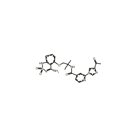 CC(=O)c1cn(-c2cc(C(=O)NC(C)(C)COc3cccc4c3C(N)=NS(=O)(=O)N4)ccn2)cn1